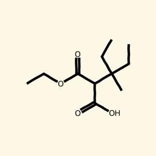 CCOC(=O)C(C(=O)O)C(C)(CC)CC